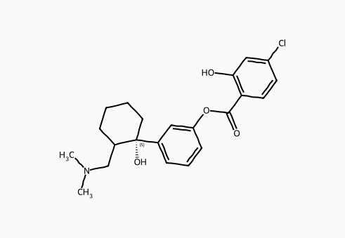 CN(C)CC1CCCC[C@@]1(O)c1cccc(OC(=O)c2ccc(Cl)cc2O)c1